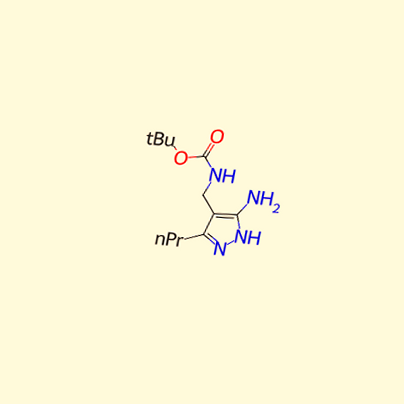 CCCc1n[nH]c(N)c1CNC(=O)OC(C)(C)C